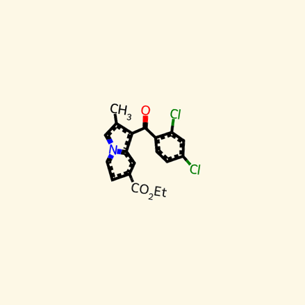 CCOC(=O)c1ccn2cc(C)c(C(=O)c3ccc(Cl)cc3Cl)c2c1